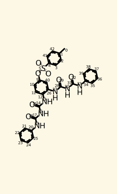 Cc1ccc(S(=O)(=O)Oc2ccc(NC(=O)NC(=O)Nc3ccccc3)c(NC(=O)NC(=O)Nc3ccccc3)c2)cc1